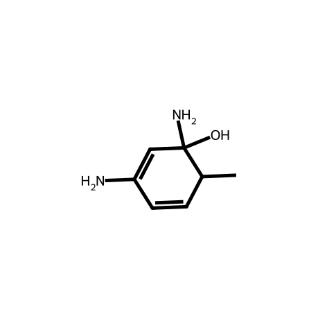 CC1C=CC(N)=CC1(N)O